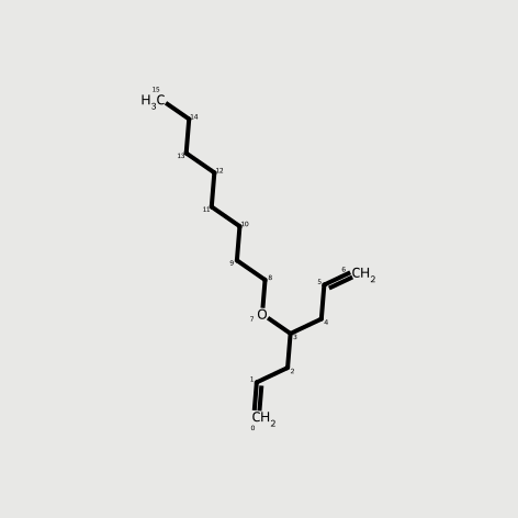 C=CCC(CC=C)OCCCCCCCC